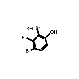 Oc1ccc(Br)c(Br)c1Br.[KH]